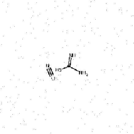 C#N.N=C(N)S